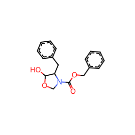 O=C(OCc1ccccc1)N1COC(O)C1Cc1ccccc1